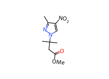 COC(=O)CC(C)(C)n1cc([N+](=O)[O-])c(C)n1